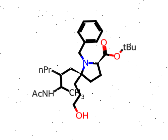 CCCC(C[C@]1(CCCO)CC[C@H](C(=O)OC(C)(C)C)N1Cc1ccccc1)C(C)NC(C)=O